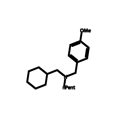 CCCCCN(Cc1ccc(OC)cc1)CC1CCCCC1